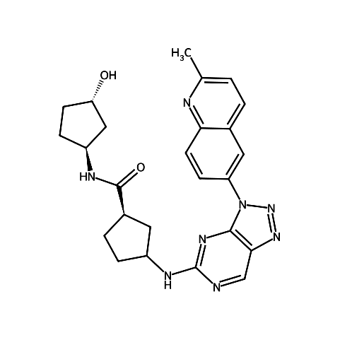 Cc1ccc2cc(-n3nnc4cnc(NC5CC[C@@H](C(=O)N[C@H]6CC[C@H](O)C6)C5)nc43)ccc2n1